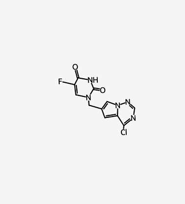 O=c1[nH]c(=O)n(Cc2cc3c(Cl)ncnn3c2)cc1F